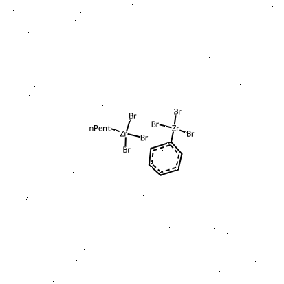 CCCC[CH2][Zr]([Br])([Br])[Br].[Br][Zr]([Br])([Br])[c]1ccccc1